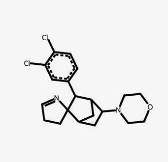 Clc1ccc(C2C3CC(CC3N3CCOCC3)C23CCC=N3)cc1Cl